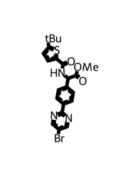 COC(=O)C(NC(=O)c1ccc(C(C)(C)C)s1)c1ccc(-c2ncc(Br)cn2)cc1